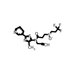 C#CCN(C(=O)CC[S+]([O-])CCC(F)(F)F)c1sc(-c2cccnc2)nc1C